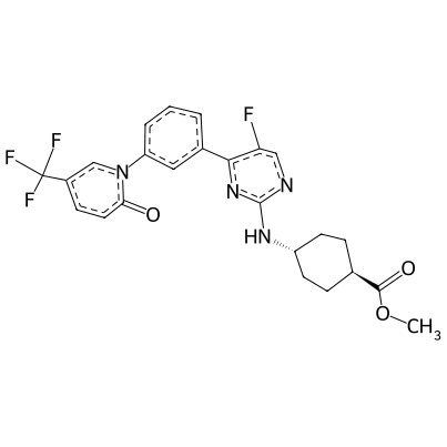 COC(=O)[C@H]1CC[C@H](Nc2ncc(F)c(-c3cccc(-n4cc(C(F)(F)F)ccc4=O)c3)n2)CC1